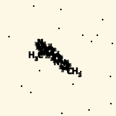 CC1CCN(c2ccc(-c3ccc4c5cnccc5n(C)c4c3)cn2)CC1